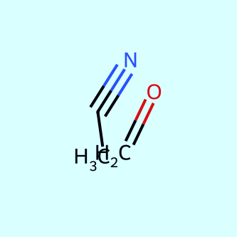 C=O.CC#N